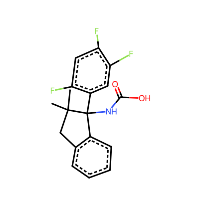 CC1(C)Cc2ccccc2C1(NC(=O)O)c1cc(F)c(F)cc1F